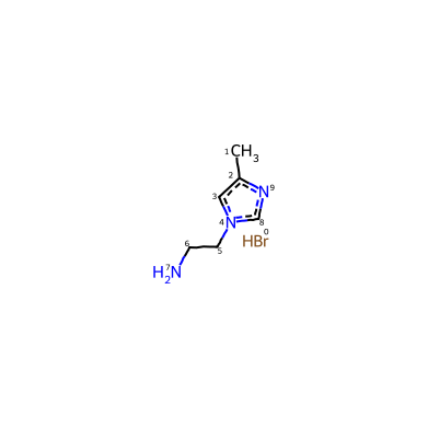 Br.Cc1cn(CCN)cn1